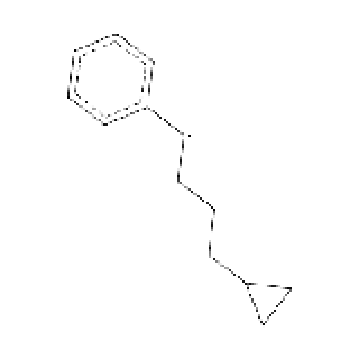 [CH](CCCC1CC1)c1ccccc1